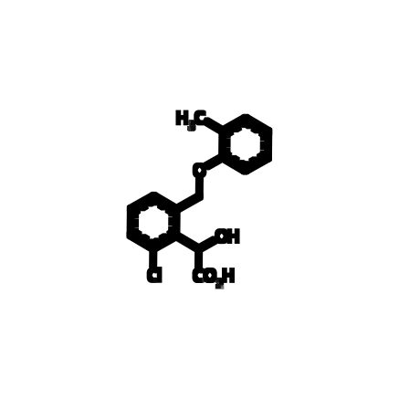 Cc1ccccc1OCc1cccc(Cl)c1C(O)C(=O)O